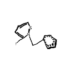 FC1=CC=CSN1Cc1ccccc1